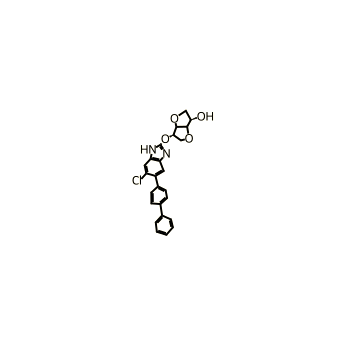 O[C@@H]1COC2C1OC[C@H]2Oc1nc2cc(-c3ccc(-c4ccccc4)cc3)c(Cl)cc2[nH]1